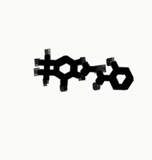 O=C(Nc1nc2c(s1)C=C1C(C2=O)C(F)(F)C1(F)F)c1ccccc1Cl